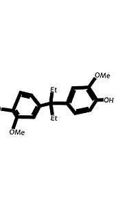 CCC(CC)(c1ccc(O)c(OC)c1)c1ccc(O)c(OC)c1